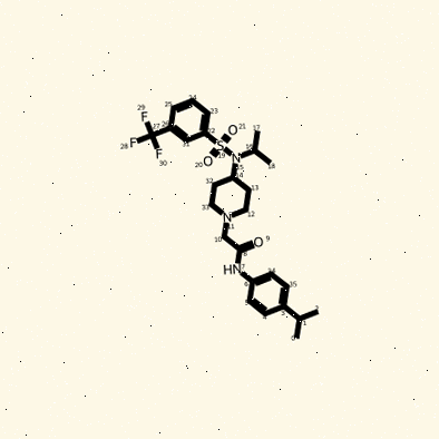 CC(C)c1ccc(NC(=O)CN2CCC(N(C(C)C)S(=O)(=O)c3cccc(C(F)(F)F)c3)CC2)cc1